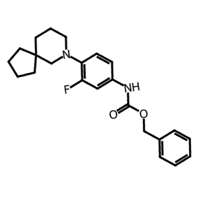 O=C(Nc1ccc(N2CCCC3(CCCC3)C2)c(F)c1)OCc1ccccc1